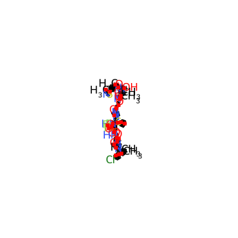 Cc1ncsc1-c1ccc([C@H](C)C(=O)N[C@@H]2C[C@@H](O)CN2C(=O)[C@H](c2cc(OCCCCC(=O)N3CCN(CC[C@H](CSc4ccccc4)Nc4ccc(S(=O)(=O)NC(=O)c5ccc6c(c5)OC[C@@H]5CN(CC7=C(c8ccc(Cl)cc8)CCC(C)(C)C7)CCN65)cc4S(=O)(=O)C(F)(F)F)CC3)no2)C(C)C)cc1